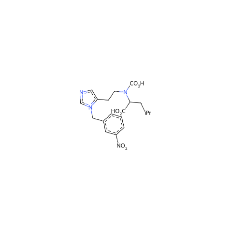 CC(C)CC(C(=O)O)N(CCc1cncn1Cc1cccc([N+](=O)[O-])c1)C(=O)O